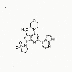 C[C@@H]1COCCN1c1nc(-c2ccnc3[nH]ccc23)nc2c(N3CCCS3(=O)=O)csc12